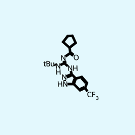 CC(C)(C)N/C(=N/C(=O)C1CCCC1)Nc1n[nH]c2cc(C(F)(F)F)ccc12